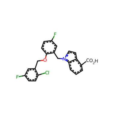 O=C(O)c1cccc2c1ccn2Cc1cc(F)ccc1OCc1cc(F)ccc1Cl